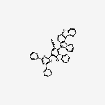 N#Cc1cc(-c2nc(-c3ccccc3)nc(-c3ccccc3)n2)c2oc3ccccc3c2c1-n1c2ccccc2c2c3c(ccc21)sc1ccccc13